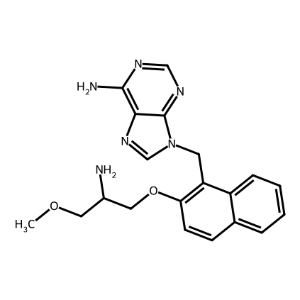 COCC(N)COc1ccc2ccccc2c1Cn1cnc2c(N)ncnc21